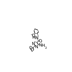 COc1ccccc1CNC(=O)c1cnc(-c2ccco2)nc1N